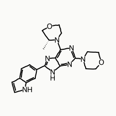 C[C@@H]1COCCN1c1nc(N2CCOCC2)nc2[nH]c(-c3ccc4cc[nH]c4c3)nc12